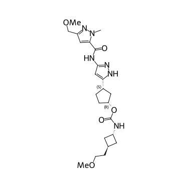 COCC[C@H]1C[C@H](NC(=O)O[C@@H]2CC[C@H](c3cc(NC(=O)c4cc(COC)nn4C)n[nH]3)C2)C1